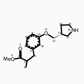 COC(=O)C(C)Cc1cccc(OC[C@@H]2CCNC2)c1